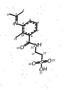 CC(C)=Nc1cccc(C(=O)NCCS(=O)(=O)O)c1C